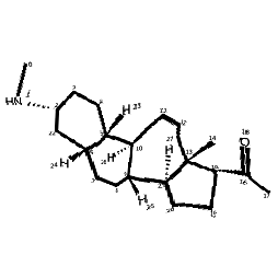 CN[C@@H]1CC[C@H]2[C@H](CC[C@@H]3[C@@H]2CC[C@]2(C)[C@@H](C(C)=O)CC[C@@H]32)C1